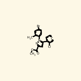 COC(=O)c1cc(-c2ccccc2Cl)n(-c2ccc(Br)cc2C)n1